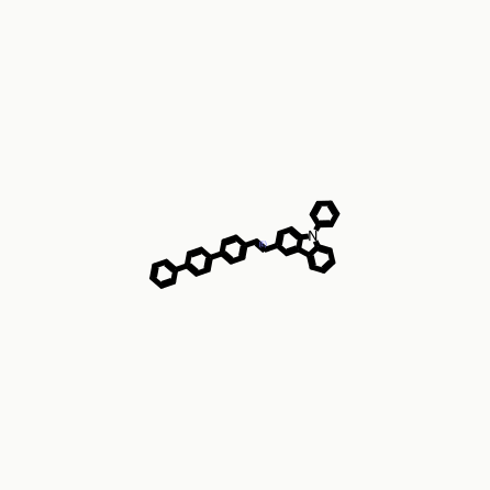 C(=C\c1ccc2c(c1)c1ccccc1n2-c1ccccc1)/c1ccc(-c2ccc(-c3ccccc3)cc2)cc1